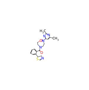 Cc1cc(N2CCN(C(=O)c3ccccc3C3CN=CS3)CCO2)nc(C)n1